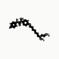 C=CCN(C)CCCCCCCOC1CCC(N(C)C(=O)Nc2ccc(F)cc2)CC1